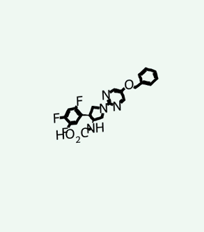 O=C(O)N[C@H]1CN(c2ncc(OCc3ccccc3)cn2)C[C@@H]1c1cc(F)c(F)cc1F